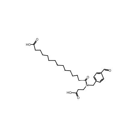 O=[C]c1ccc(CN(CCC(=O)O)C(=O)CCCCCCCCCCCCCC(=O)O)cc1